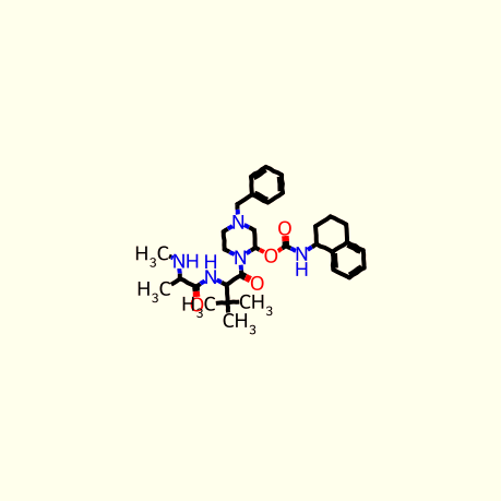 CNC(C)C(=O)NC(C(=O)N1CCN(Cc2ccccc2)CC1OC(=O)NC1CCCc2ccccc21)C(C)(C)C